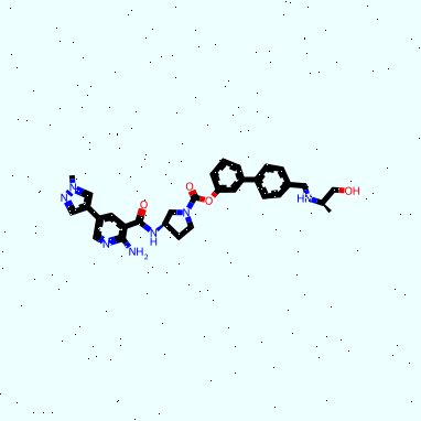 C[C@H](CO)NCc1ccc(-c2cccc(OC(=O)N3CC[C@@H](NC(=O)c4cc(-c5cnn(C)c5)cnc4N)C3)c2)cc1